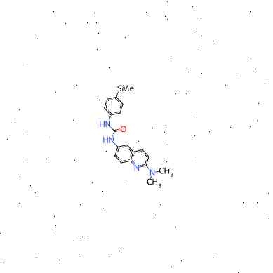 CSc1ccc(NC(=O)Nc2ccc3nc(N(C)C)ccc3c2)cc1